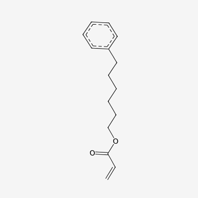 C=CC(=O)OCCCCCCc1ccccc1